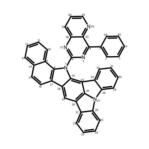 c1ccc(-c2nc(-n3c4c5ccccc5ccc4c4cc5c6ccccc6n6c7ccccc7c(c43)c56)nc3cccnc23)cc1